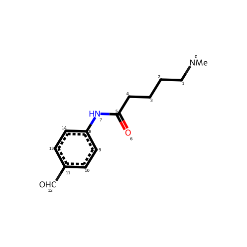 CNCCCCC(=O)Nc1ccc(C=O)cc1